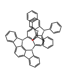 c1ccc(-c2cc(-n3c4ccccc4c4ccc5c6ccccc6n(-c6ccc7c(c6)c6ccccc6n7-c6ccccc6)c5c43)nc(-c3ccccc3)n2)cc1